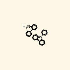 Nc1ccccc1-c1ccccc1.c1ccc(-n2c3ccccc3c3ccccc32)cc1